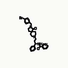 O=C(NC(CCN1CCC2(CC1)CCN(Cc1ccc(Br)cc1)C2=O)c1ccccc1)c1cccnc1